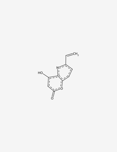 C=Cc1ccc2oc(=O)cc(O)c2n1